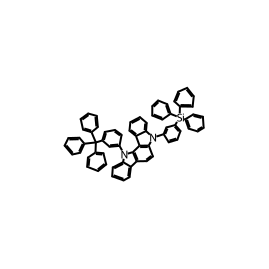 c1ccc(C(c2ccccc2)(c2ccccc2)c2cccc(-n3c4ccccc4c4ccc5c(c6ccccc6n5-c5cccc([Si](c6ccccc6)(c6ccccc6)c6ccccc6)c5)c43)c2)cc1